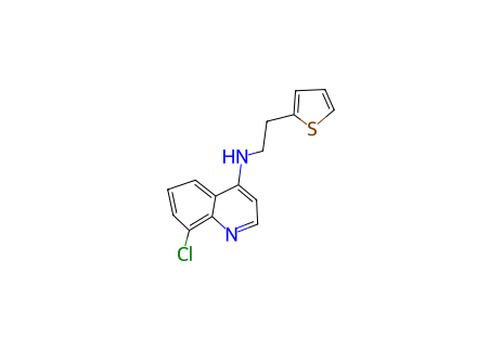 Clc1cccc2c(NCCc3cccs3)ccnc12